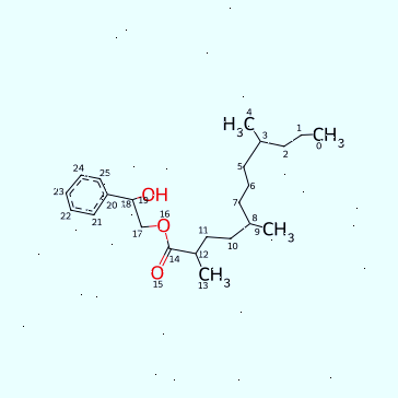 CCCC(C)CCCC(C)CCC(C)C(=O)OCC(O)c1ccccc1